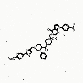 COc1ccc(-c2ncc(CN3CC[C@@H](C(=O)N4CCC(O)(Cn5cnc6c(ccn6-c6ccc(C(F)F)cc6)c5=O)CC4)[C@H](c4ccccc4)C3)s2)cn1